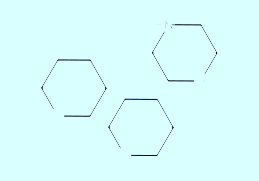 C1CCOCC1.C1CCOCC1.C1COCCN1